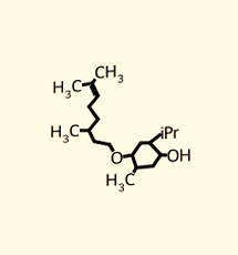 CC(C)=CCCC(C)CCOC1CC(C(C)C)C(O)CC1C